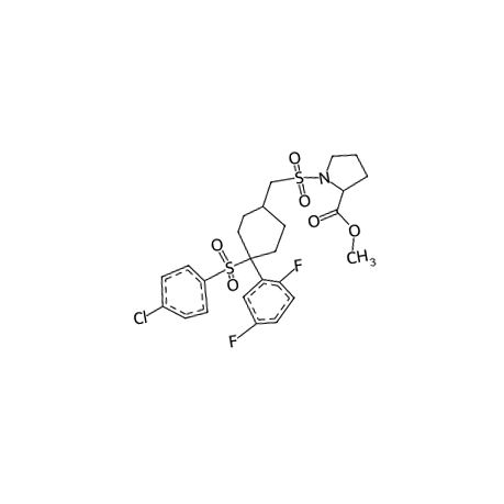 COC(=O)C1CCCN1S(=O)(=O)CC1CCC(c2cc(F)ccc2F)(S(=O)(=O)c2ccc(Cl)cc2)CC1